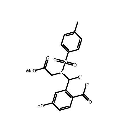 COC(=O)CN(C(Cl)c1cc(O)ccc1C(=O)Cl)S(=O)(=O)c1ccc(C)cc1